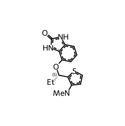 CC[C@H](Oc1cccc2[nH]c(=O)[nH]c12)c1sccc1NC